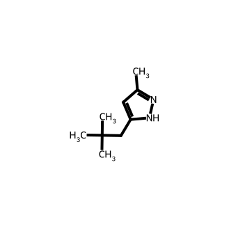 Cc1cc(CC(C)(C)C)[nH]n1